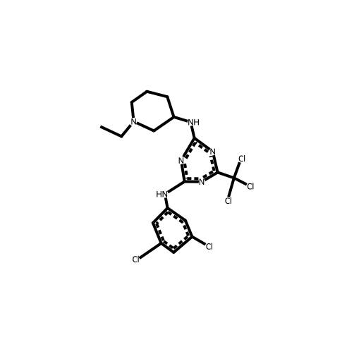 CCN1CCCC(Nc2nc(Nc3cc(Cl)cc(Cl)c3)nc(C(Cl)(Cl)Cl)n2)C1